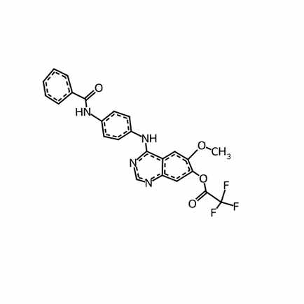 COc1cc2c(Nc3ccc(NC(=O)c4ccccc4)cc3)ncnc2cc1OC(=O)C(F)(F)F